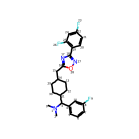 CN(C)C(c1cccc(F)c1)C1CCC(Cc2nc(-c3ccc(F)cc3F)no2)CC1